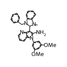 COc1cc(OC)cc(-n2c(N)c(C3N(C)c4ccccc4N3Cc3ccccc3)c3ncccc32)c1